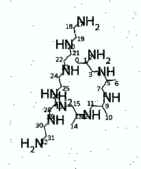 CC(N)CNC(C)CNC(C)CNC(C)CN.NCCNCCNCCNCCNCCN